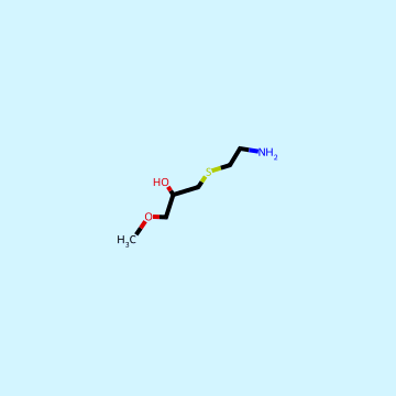 COCC(O)CSCCN